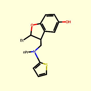 CCCN(CC1c2cc(O)ccc2OC1CC)c1cccs1